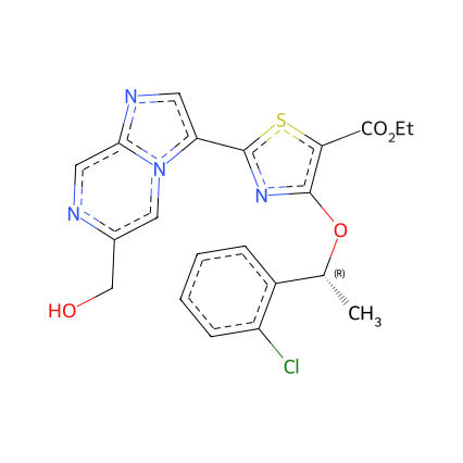 CCOC(=O)c1sc(-c2cnc3cnc(CO)cn23)nc1O[C@H](C)c1ccccc1Cl